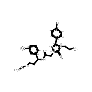 NSOCCC(NC(=O)Cn1nc(-c2ccc(Cl)cc2)n(CCC(F)(F)F)c1=O)c1cccc(C(F)(F)F)c1